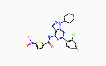 O=C(Nc1nc(-c2ccc(F)cc2Cl)nc2c1cnn2C1CCCCC1)c1ccc([N+](=O)[O-])s1